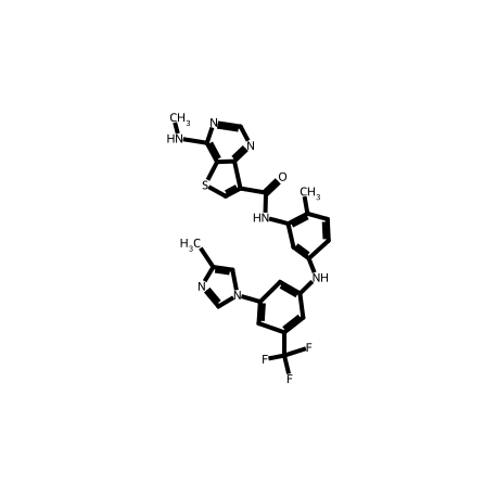 CNc1ncnc2c(C(=O)Nc3cc(Nc4cc(-n5cnc(C)c5)cc(C(F)(F)F)c4)ccc3C)csc12